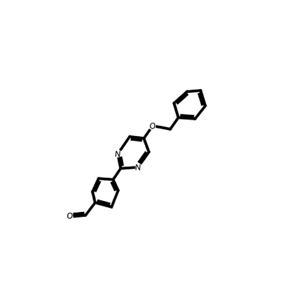 O=Cc1ccc(-c2ncc(OCc3ccccc3)cn2)cc1